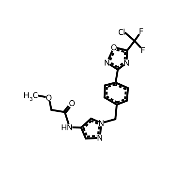 COCC(=O)Nc1cnn(Cc2ccc(-c3noc(C(F)(F)Cl)n3)cc2)c1